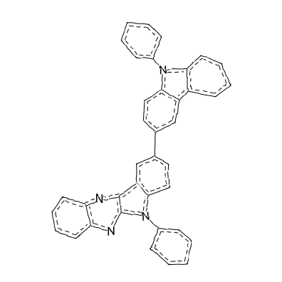 c1ccc(-n2c3ccccc3c3cc(-c4ccc5c(c4)c4nc6ccccc6nc4n5-c4ccccc4)ccc32)cc1